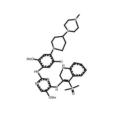 CCc1cc(Nc2ncc(OC)c(NC3=C(P(C)(C)=O)c4ccccc4NC3)n2)c(OC)cc1N1CCC(N2CCN(C)CC2)CC1